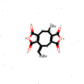 CCCCC=C1CC2=C(C(=O)OC2=O)C(CCCC)CC2=C1C(=O)OC2=O